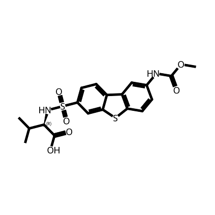 COC(=O)Nc1ccc2sc3cc(S(=O)(=O)N[C@@H](C(=O)O)C(C)C)ccc3c2c1